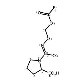 CCC(=O)OCO/N=[N+](\[O-])N1CCCC1C(=O)O